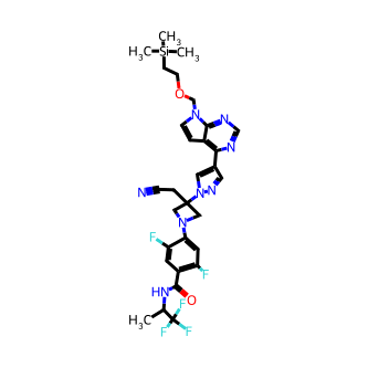 CC(NC(=O)c1cc(F)c(N2CC(CC#N)(n3cc(-c4ncnc5c4ccn5COCC[Si](C)(C)C)cn3)C2)cc1F)C(F)(F)F